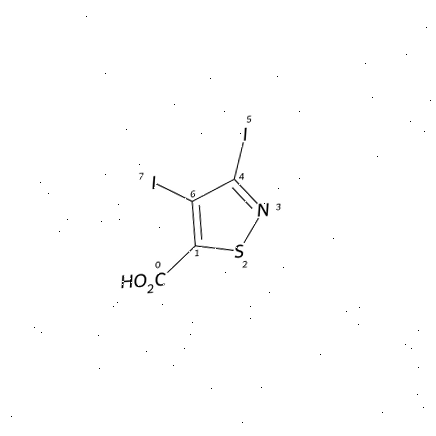 O=C(O)c1snc(I)c1I